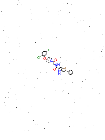 O=C(NCC(=O)N1CCC(Oc2cc(F)ccc2Cl)CC1)c1cc2sc(-c3ccccc3)cc2[nH]1